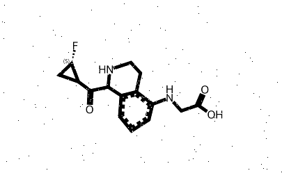 O=C(O)CNc1cccc2c1CCNC2C(=O)C1C[C@@H]1F